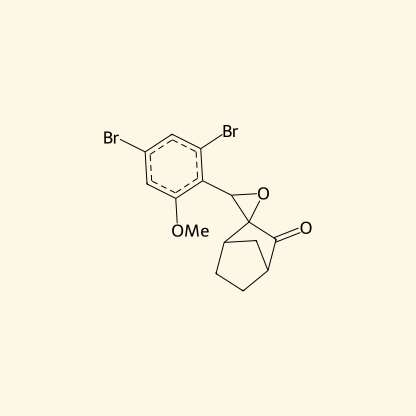 COc1cc(Br)cc(Br)c1C1OC12C(=O)C1CCC2C1